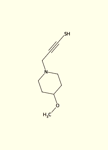 COC1CCN(CC#CS)CC1